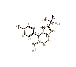 Fc1ccc(C2c3nc(C(F)(F)F)cn3CCN2CI)cc1